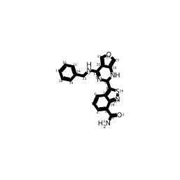 NC(=O)c1cccc2c(C3N=C(NCc4ccccc4)c4cocc4N3)snc12